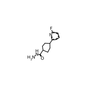 NNC(=O)C1CCC(c2cccc(F)n2)CC1